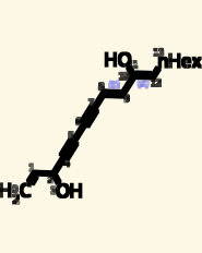 C=CC(O)C#CC#C/C=C/C(O)=C/CCCCCC